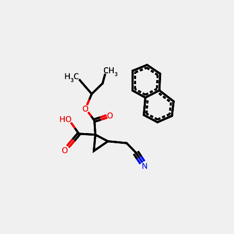 CCC(C)OC(=O)C1(C(=O)O)CC1CC#N.c1ccc2ccccc2c1